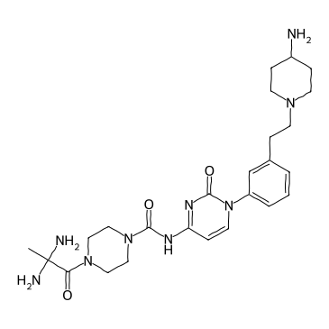 CC(N)(N)C(=O)N1CCN(C(=O)Nc2ccn(-c3cccc(CCN4CCC(N)CC4)c3)c(=O)n2)CC1